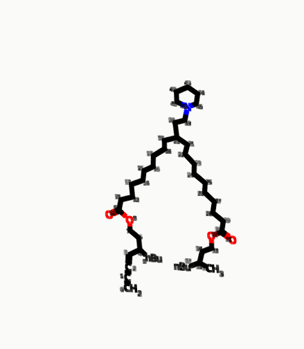 C=C=C=CC(CCCC)CCOC(=O)CCCCCCCCCC(CCCCCCCCCC(=O)OCCC(C)CCCC)CCN1CCCCC1